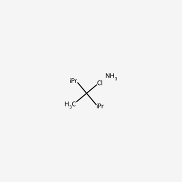 CC(C)C(C)(Cl)C(C)C.N